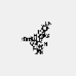 CC(C)(C)OC(=O)NC(CN1C[C@@H]2CC1C(=O)N2c1ccc(C#N)cc1)C(=O)N1C(C#N)C[C@@H]2C[C@@H]21